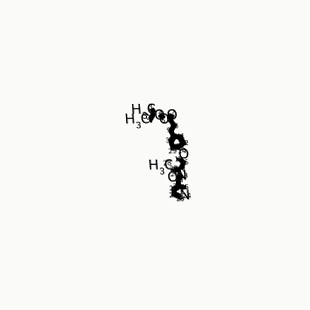 CCC(C)OOC(=O)CCc1ccc(OCCc2nc(-c3cccnc3)oc2C)cc1